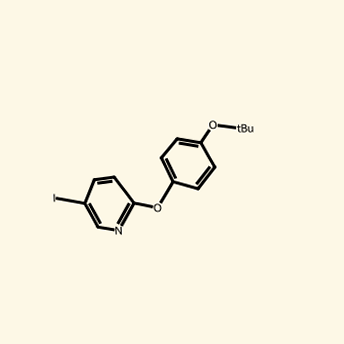 CC(C)(C)Oc1ccc(Oc2ccc(I)cn2)cc1